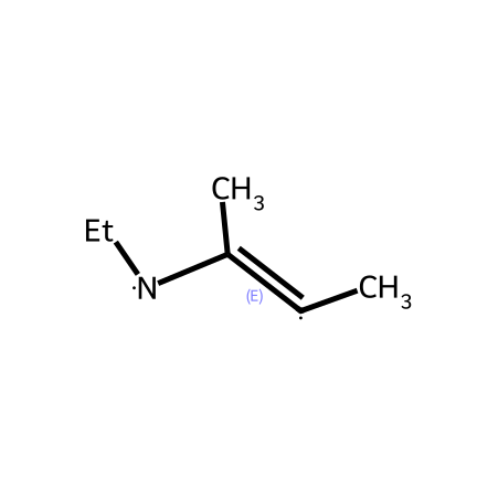 C/[C]=C(\C)[N]CC